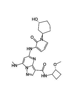 CNc1cc(Nc2cccn([C@@H]3CCC[C@@H](O)C3)c2=O)nc2c(C(=O)NC3CC[C@H]3OC)cnn12